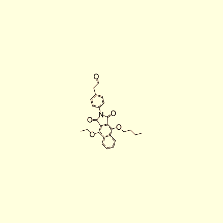 CCCCOc1c2c(c(OCC)c3ccccc13)C(=O)N(c1ccc(CC=O)cc1)C2=O